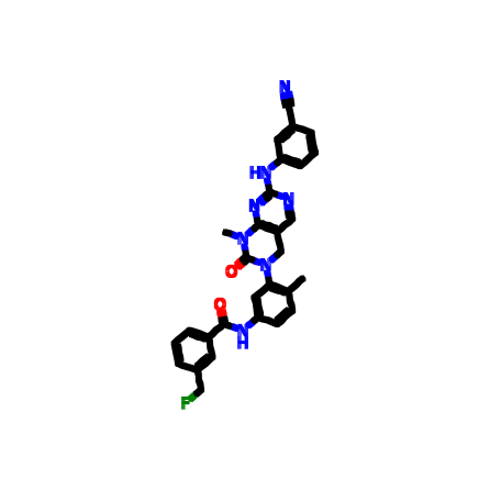 Cc1ccc(NC(=O)c2cccc(CF)c2)cc1N1Cc2cnc(Nc3cccc(C#N)c3)nc2N(C)C1=O